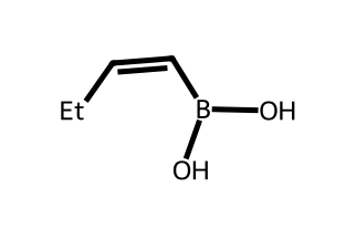 CC/C=C\B(O)O